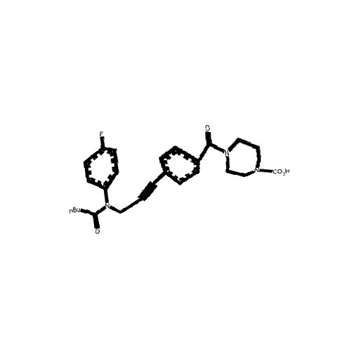 CCCCC(=O)N(CC#Cc1ccc(C(=O)N2CCN(C(=O)O)CC2)cc1)c1ccc(F)cc1